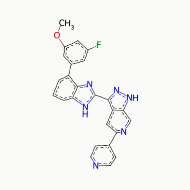 COc1cc(F)cc(-c2cccc3[nH]c(-c4n[nH]c5cnc(-c6ccncc6)cc45)nc23)c1